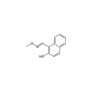 CON=Cc1c(O)ccc2ccccc12